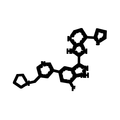 Fc1cc(-c2cncc(CN3CCCC3)c2)cc2c(-c3nc4c(-c5cccs5)ccnc4[nH]3)n[nH]c12